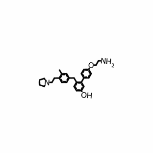 Cc1cc(Cc2ccc(O)cc2-c2ccc(OCCN)cc2)ccc1CCN1CCCC1